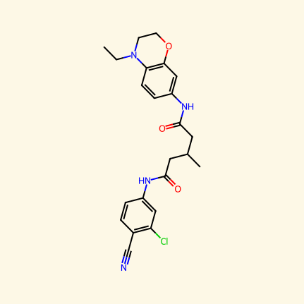 CCN1CCOc2cc(NC(=O)CC(C)CC(=O)Nc3ccc(C#N)c(Cl)c3)ccc21